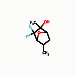 CC1CC2OC1C(F)(F)C2(O)C(F)(F)F